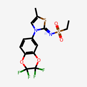 CCS(=O)(=O)/N=c1\sc(C)cn1-c1ccc2c(c1)OC(F)(F)C(F)(F)O2